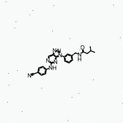 CC(C)CC(=O)NCc1cccc(-n2nnc3cnc(Nc4ccc(C#N)cc4)nc32)c1